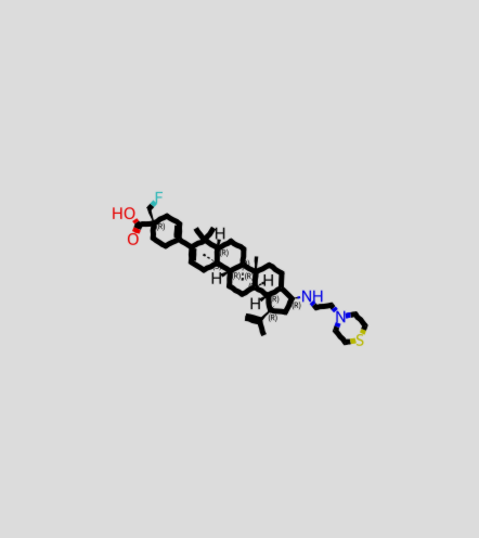 C=C(C)[C@@H]1C[C@@H](NCCN2CCSCC2)C2CC[C@]3(C)[C@H](CC[C@@H]4[C@@]5(C)CC=C(C6=CC[C@@](CF)(C(=O)O)CC6)C(C)(C)[C@@H]5CC[C@]43C)[C@H]21